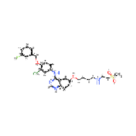 CS(=O)(=O)CCNCCCCOc1ccc2ncnc(Nc3ccc(OCc4cccc(F)c4)c(Cl)c3)c2c1